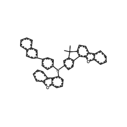 CC1(C)c2cc(N(c3ccc(-c4ccc5ccccc5c4)cc3)c3cccc4oc5ccccc5c34)ccc2-c2c1ccc1c2oc2ccccc21